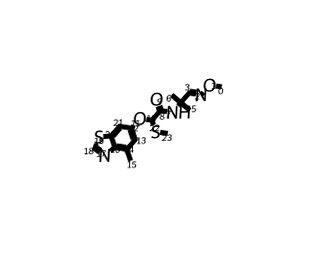 CO/N=C/C(C)(C)NC(=O)C(Oc1cc(C)c2ncsc2c1)SC